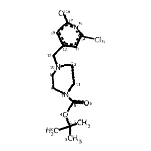 CC(C)(C)OC(=O)N1CCN(Cc2cc(Cl)nc(Cl)c2)CC1